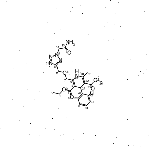 CCOC(=O)C1=C(COCc2nnn(CC(N)=O)n2)NC(C)=C(C(=O)OC)C1c1ccccc1Cl